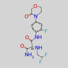 NC(=O)[C@@H](NCC(F)F)C(=O)Nc1ccc(N2CCOCC2=O)cc1F